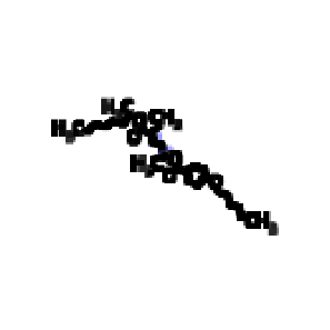 C=C/C(=C\C=C(/C)OC(=O)c1ccc(OCCCCCC)cc1)C(=O)OC(C)CCCCCC